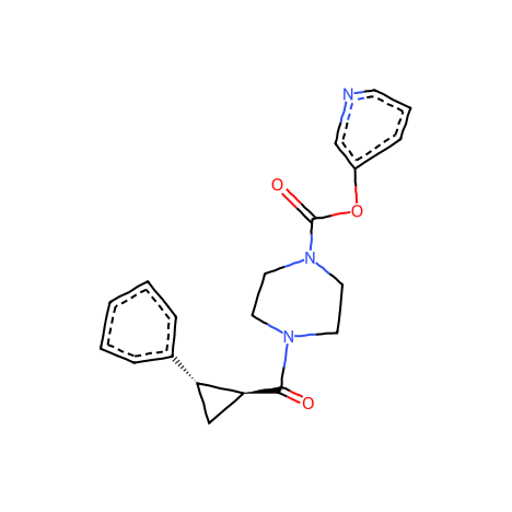 O=C(Oc1cccnc1)N1CCN(C(=O)[C@H]2C[C@@H]2c2ccccc2)CC1